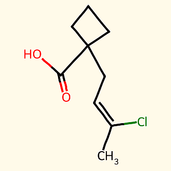 CC(Cl)=CCC1(C(=O)O)CCC1